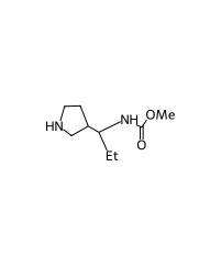 CCC(NC(=O)OC)C1CCNC1